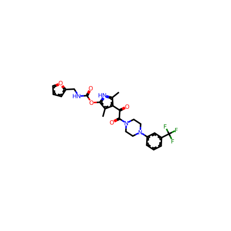 Cc1[nH]c(OC(=O)NCc2ccco2)c(C)c1C(=O)C(=O)N1CCN(c2cccc(C(F)(F)F)c2)CC1